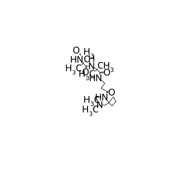 CN(C)CC1(NC(=O)CCNC(=O)C(C)(C)NC(=O)C(C)(C)NC=O)CCC1